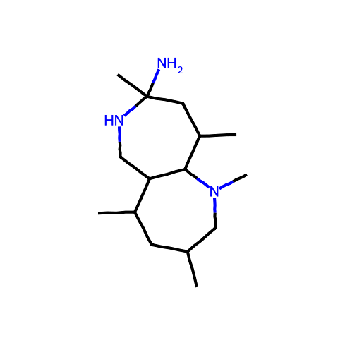 CC1CC(C)C2CNC(C)(N)CC(C)C2N(C)C1